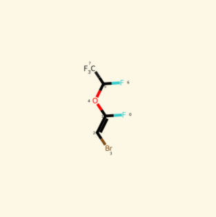 FC(=CBr)OC(F)C(F)(F)F